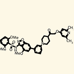 COc1cccc(OC)c1S(=O)(=O)Nc1noc2cc(-c3cccc(N4CCC(C(=O)COc5cc(C)nc(C)c5)CC4)c3)cc(OC)c12